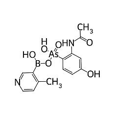 CC(=O)Nc1cc(O)ccc1[As](=O)(O)OB(O)c1cnccc1C